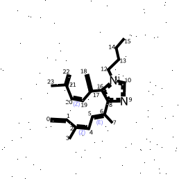 C=C/C(C)=C\C=C(/C)c1ncn(CCCC)c1C(=C)/C=C\C(=C)C